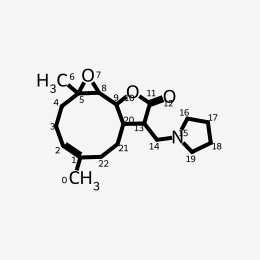 CC1=CCCC2(C)OC2C2OC(=O)C(CN3CCCC3)C2CC1